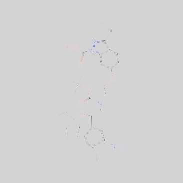 CC[Si](CC)(CC)OC(CN(CCOc1ccc2c(C(F)(F)F)nn(C(=O)O)c2c1)C(=O)OC(C)(C)C)c1ccc(F)c(N)c1